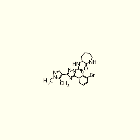 Cc1c(-c2nc3c4cccc(Br)c4nc(N[C@@H]4CCCCNC4=O)n3n2)cnn1C